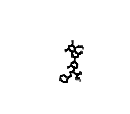 CC(=O)N(CCN1CCOCC1)c1ccc(-c2cc(=O)c3c(N)c(F)cc(F)c3o2)cc1F